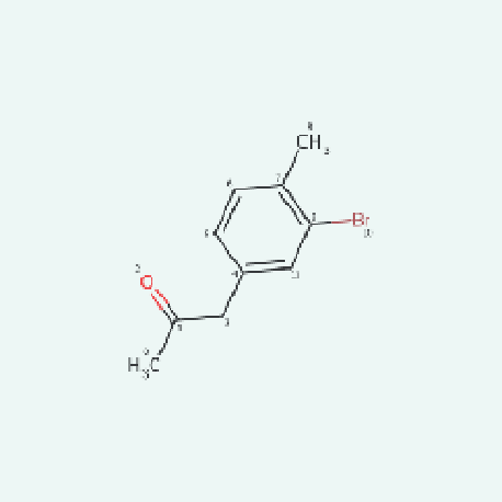 CC(=O)Cc1ccc(C)c(Br)c1